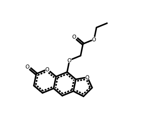 CCOC(=O)COc1c2occc2cc2ccc(=O)oc12